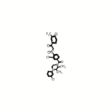 CC1C(C)N(c2cccc(Cl)c2)CCN1C(=O)c1ccc([S+]([O-])CC(=O)c2ccc(Cl)c(C(F)(F)F)c2)c(Cl)c1